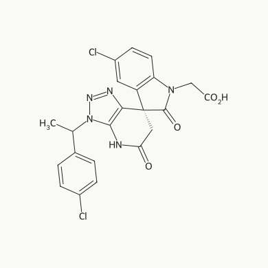 CC(c1ccc(Cl)cc1)n1nnc2c1NC(=O)C[C@]21C(=O)N(CC(=O)O)c2ccc(Cl)cc21